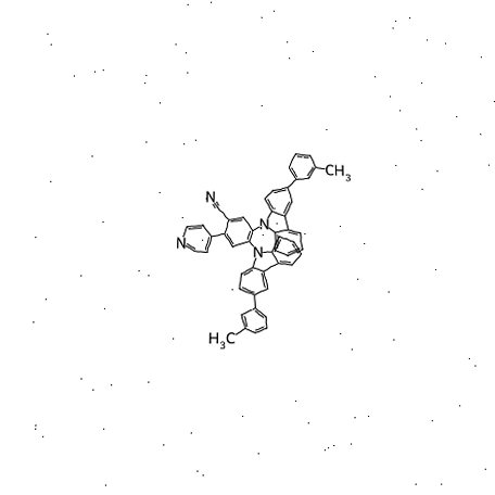 Cc1cccc(-c2ccc3c(c2)c2ccccc2n3-c2cc(C#N)c(-c3ccncc3)cc2-n2c3ccccc3c3cc(-c4cccc(C)c4)ccc32)c1